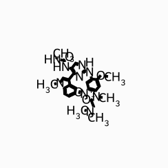 CNC(=O)Nc1cnc(Nc2cc([N+](=O)[O-])c(N(C)CCN(C)C)cc2OC)nc1-c1cn(C)c2ccccc12